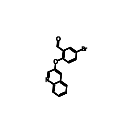 O=Cc1cc(Br)ccc1Oc1cnc2ccccc2c1